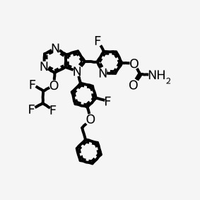 NC(=O)Oc1cnc(-c2cc3ncnc(OC(F)C(F)F)c3n2-c2ccc(OCc3ccccc3)c(F)c2)c(F)c1